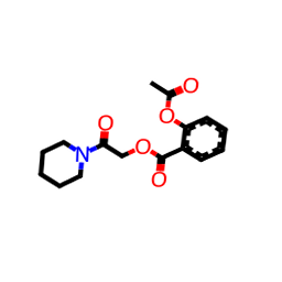 CC(=O)Oc1ccccc1C(=O)OCC(=O)N1CCCCC1